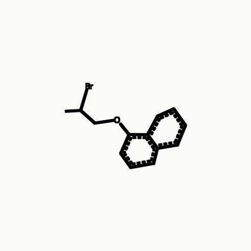 CC(Br)COc1cccc2ccccc12